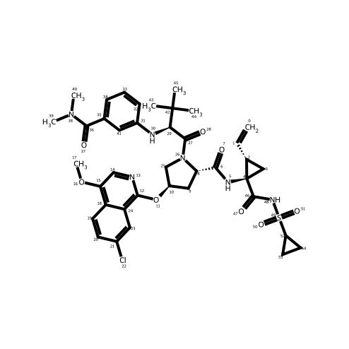 C=C[C@@H]1C[C@]1(NC(=O)[C@@H]1C[C@@H](Oc2ncc(OC)c3ccc(Cl)cc23)CN1C(=O)[C@@H](Nc1cccc(C(=O)N(C)C)c1)C(C)(C)C)C(=O)NS(=O)(=O)C1CC1